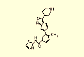 Cc1ccc(C(=O)Nc2nccs2)cc1-c1ccc2c(C3CCNCC3)onc2c1